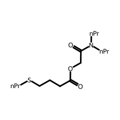 CCCSCCCC(=O)OCC(=O)N(CCC)CCC